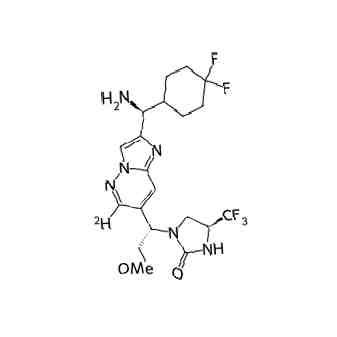 [2H]c1nn2cc([C@@H](N)C3CCC(F)(F)CC3)nc2cc1[C@@H](COC)N1C[C@@H](C(F)(F)F)NC1=O